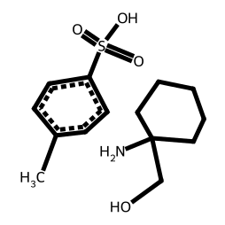 Cc1ccc(S(=O)(=O)O)cc1.NC1(CO)CCCCC1